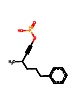 CC(C#CO[PH](=O)O)CCCc1ccccc1